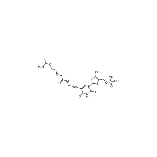 CC(N)OCCOCC(=O)NCC#Cc1cn(C2CC(O)C(COP(=O)(O)O)O2)c(=O)[nH]c1=O